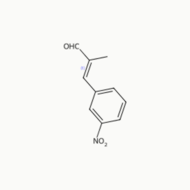 C/C(C=O)=C\c1cccc([N+](=O)[O-])c1